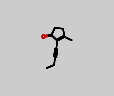 CCC#CC1=C(C)CCC1=O